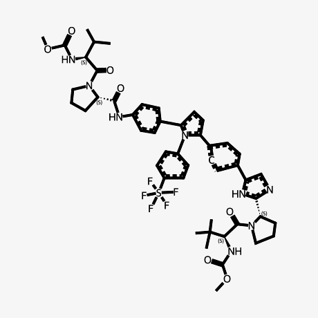 COC(=O)N[C@H](C(=O)N1CCC[C@H]1C(=O)Nc1ccc(-c2ccc(-c3ccc(-c4cnc([C@@H]5CCCN5C(=O)[C@@H](NC(=O)OC)C(C)(C)C)[nH]4)cc3)n2-c2ccc(S(F)(F)(F)(F)F)cc2)cc1)C(C)C